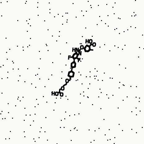 Cc1ccc(Oc2nc3c(F)c(-c4ccc(-c5ccc(COCCOCC(=O)O)cc5)cc4)c(F)cc3[nH]2)cc1C(=O)O